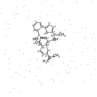 CNCc1ccccc1-c1ccc([C@@H](C)Nc2nncc3ccc(N(C)C)cc23)s1